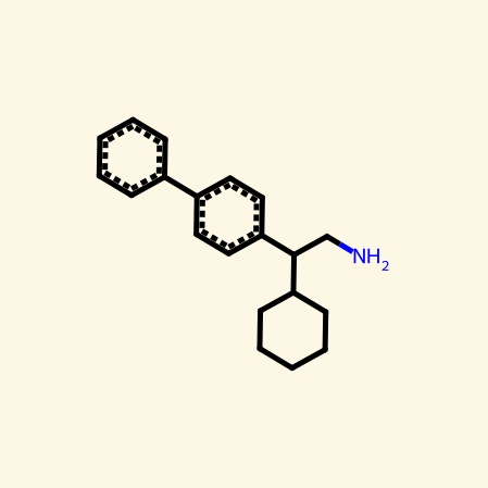 NCC(c1ccc(-c2ccccc2)cc1)C1CCCCC1